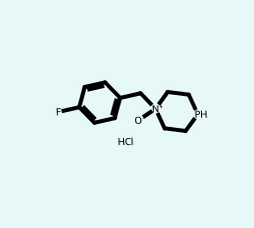 Cl.[O-][N+]1(Cc2ccc(F)cc2)CCPCC1